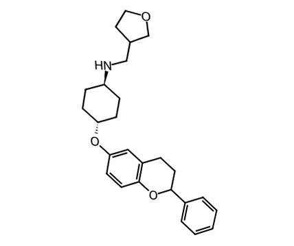 c1ccc(C2CCc3cc(O[C@H]4CC[C@H](NCC5CCOC5)CC4)ccc3O2)cc1